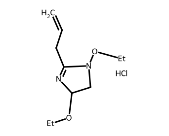 C=CCC1=NC(OCC)CN1OCC.Cl